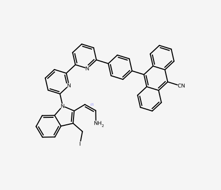 N#Cc1c2ccccc2c(-c2ccc(-c3cccc(-c4cccc(-n5c(/C=C\N)c(CI)c6ccccc65)n4)n3)cc2)c2ccccc12